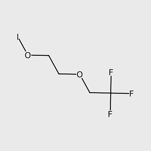 FC(F)(F)COCCOI